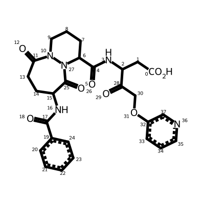 O=C(O)CC(NC(=O)C1CCCN2C(=O)CCC(NC(=O)c3ccccc3)C(=O)N12)C(=O)COc1cccnc1